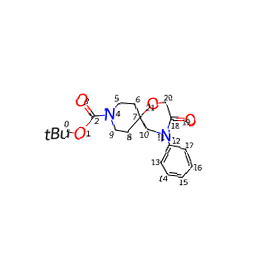 CC(C)(C)OC(=O)N1CCC2(CC1)CN(c1ccccc1)C(=O)CO2